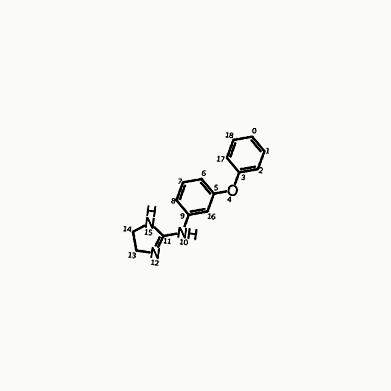 c1ccc(Oc2cccc(NC3=NCCN3)c2)cc1